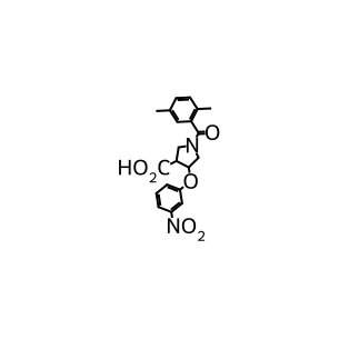 Cc1ccc(C)c(C(=O)N2CC(Oc3cccc([N+](=O)[O-])c3)C(C(=O)O)C2)c1